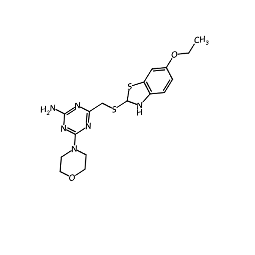 CCOc1ccc2c(c1)SC(SCc1nc(N)nc(N3CCOCC3)n1)N2